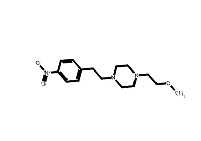 COCCN1CCN(CCc2ccc([N+](=O)[O-])cc2)CC1